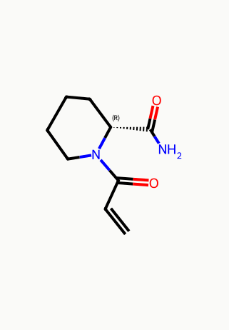 C=CC(=O)N1CCCC[C@@H]1C(N)=O